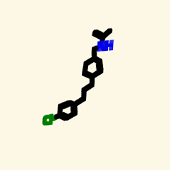 C=C(C)NCC1C=CC(CCCc2ccc(Cl)cc2)CC1